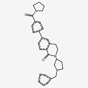 O=C(c1ccc(-c2ccc3c(c2)CCN(C2CCN(Cc4ccccc4)C2)C3=O)cc1)N1CCCC1